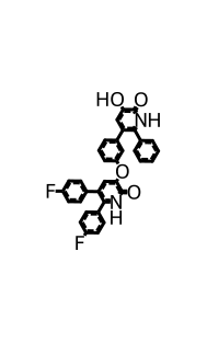 O=c1[nH]c(-c2ccccc2)c(-c2cccc(Oc3cc(-c4ccc(F)cc4)c(-c4ccc(F)cc4)[nH]c3=O)c2)cc1O